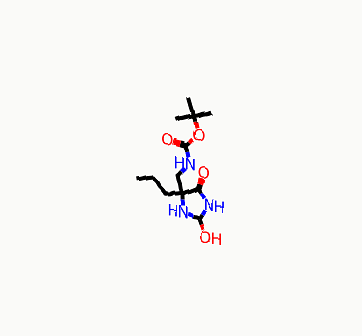 CCCC1(CNC(=O)OC(C)(C)C)NC(O)NC1=O